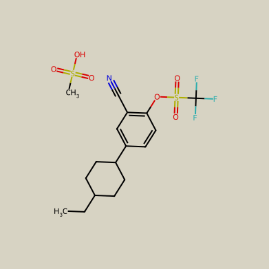 CCC1CCC(c2ccc(OS(=O)(=O)C(F)(F)F)c(C#N)c2)CC1.CS(=O)(=O)O